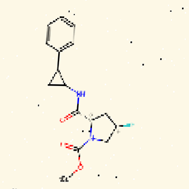 CC(C)(C)OC(=O)N1C[C@H](F)C[C@H]1C(=O)NC1CC1c1ccccc1